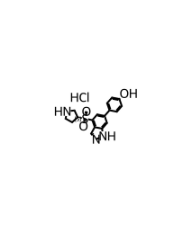 Cl.O=S(=O)(c1cc(-c2ccc(O)cc2)cc2[nH]ncc12)[C@H]1CCNC1